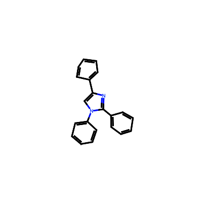 [c]1ccc(-n2cc(-c3ccccc3)nc2-c2ccccc2)cc1